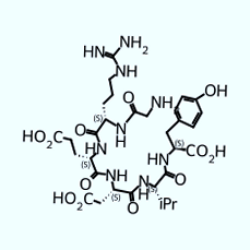 CC(C)[C@H](NC(=O)[C@H](CC(=O)O)NC(=O)[C@H](CCC(=O)O)NC(=O)[C@H](CCCNC(=N)N)NC(=O)CN)C(=O)N[C@@H](Cc1ccc(O)cc1)C(=O)O